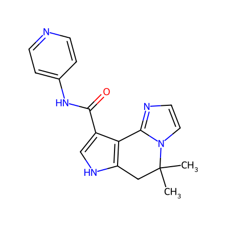 CC1(C)Cc2[nH]cc(C(=O)Nc3ccncc3)c2-c2nccn21